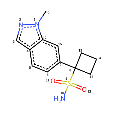 Cn1ncc2ccc(C3(S(N)(=O)=O)CCC3)cc21